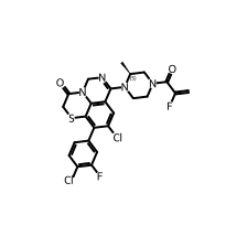 C=C(F)C(=O)N1CCN(C2=NCN3C(=O)CSc4c(-c5ccc(Cl)c(F)c5)c(Cl)cc2c43)[C@@H](C)C1